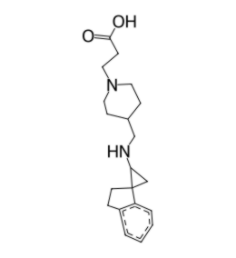 O=C(O)CCN1CCC(CNC2CC23CCc2ccccc23)CC1